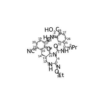 CCC[C@@H](NC(=O)N1C/C(=N/OCC)NC[C@@H](Cc2cc(Cl)ccc2C#N)C1=O)c1ccc(C(=O)O)c(N)c1